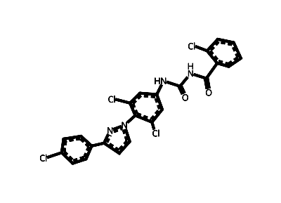 O=C(NC(=O)c1ccccc1Cl)Nc1cc(Cl)c(-n2ccc(-c3ccc(Cl)cc3)n2)c(Cl)c1